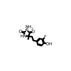 CC1(CCc2ccc(O)c(F)c2)NC(=O)N(N)C1=O